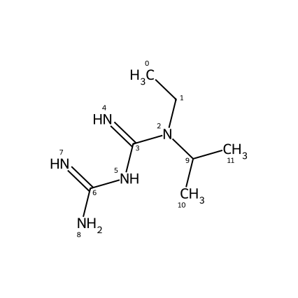 CCN(C(=N)NC(=N)N)C(C)C